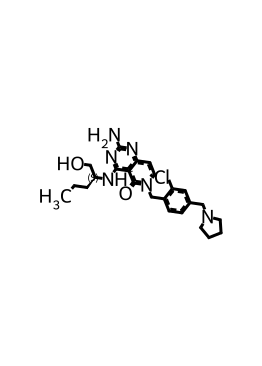 CCC[C@@H](CO)Nc1nc(N)nc2ccn(Cc3ccc(CN4CCCC4)cc3Cl)c(=O)c12